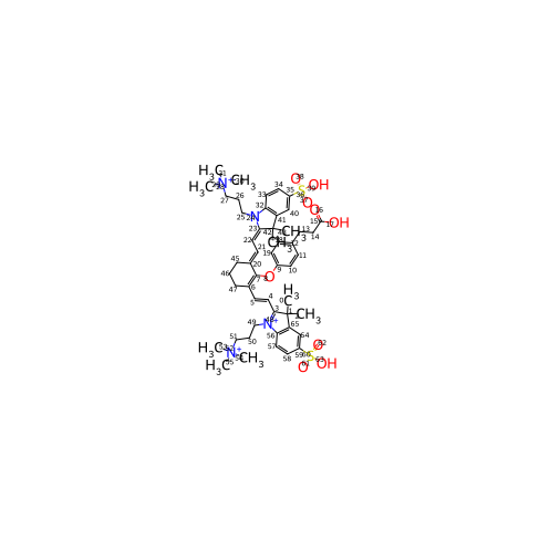 CC1(C)C(/C=C/C2=C(Oc3ccc(CCC(=O)O)cc3)C(=C/C=C3/N(CCC[N+](C)(C)C)c4ccc(S(=O)(=O)O)cc4C3(C)C)/CCC2)=[N+](CCC[N+](C)(C)C)c2ccc(S(=O)(=O)O)cc21